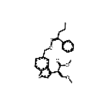 CCCC(=NOCc1ccc2scc(C(=COC)C(=O)OC)c2c1)c1ccccc1